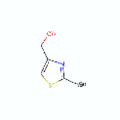 CC(C)(C)c1nc(CO)cs1